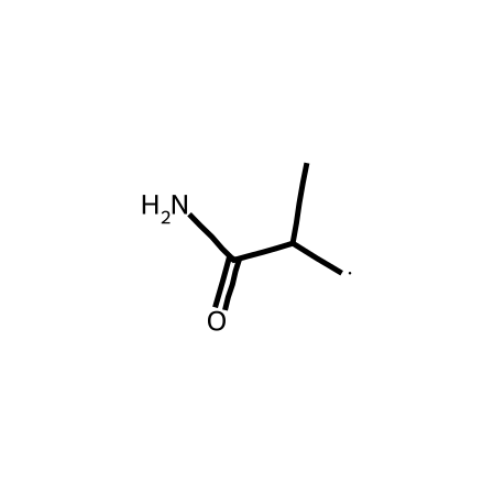 [CH2]C(C)C(N)=O